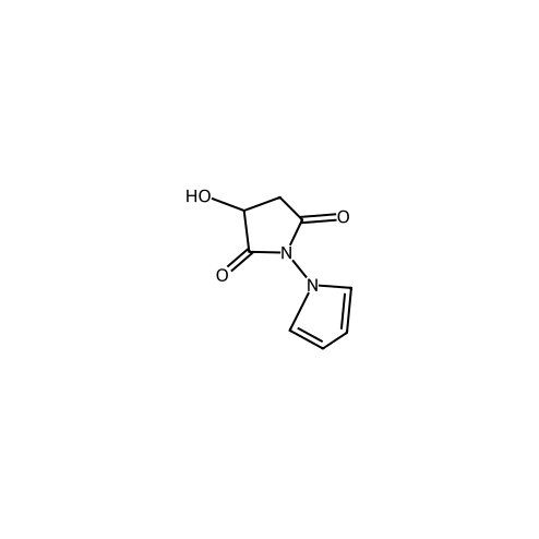 O=C1CC(O)C(=O)N1n1cccc1